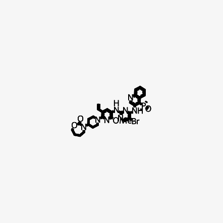 C=Cc1cc(Nc2ncc(Br)c(Nc3cnc4ccccc4c3P(C)(C)=O)n2)c(OC)nc1N1CCC(N2CCCCOC2=O)CC1